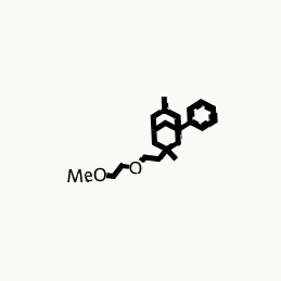 COCCOCCC1(C)CC2CC(C)CC(c3ccccc3)(C2)C1